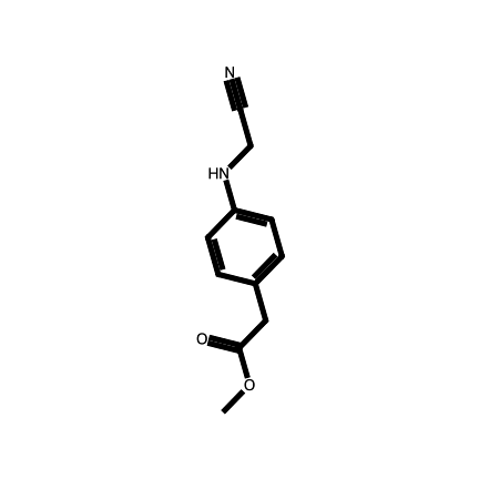 COC(=O)Cc1ccc(NCC#N)cc1